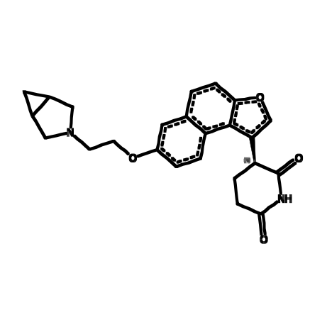 O=C1CC[C@@H](c2coc3ccc4cc(OCCN5CC6CC6C5)ccc4c23)C(=O)N1